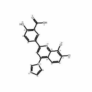 O=C(O)c1cc(-c2cc(-n3ccnc3)c3ccc(Cl)c(Cl)c3n2)ccc1O